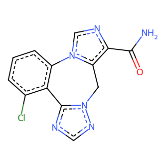 NC(=O)c1ncn2c1Cn1ncnc1-c1c(Cl)cccc1-2